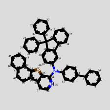 c1ccc(-c2ccc(N(c3ccc4c(c3)-c3ccccc3C4(c3ccccc3)c3ccccc3)c3nccc4c3sc3c5ccccc5ccc43)cc2)cc1